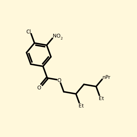 CCCC(CC)CC(CC)COC(=O)c1ccc(Cl)c([N+](=O)[O-])c1